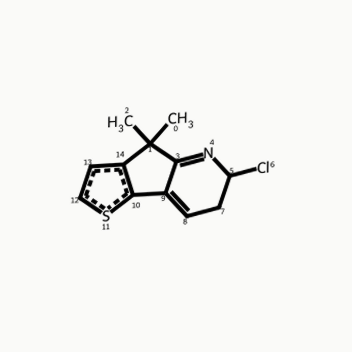 CC1(C)C2=NC(Cl)CC=C2c2sccc21